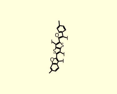 Cc1ccc2c(I)c(-c3sc4c(I)c(-c5oc6cc(C)ccc6c5I)sc4c3I)oc2c1